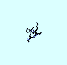 C/C=C(C)\C=C(\CC)C(=CCCC)/N=C(\C)OC